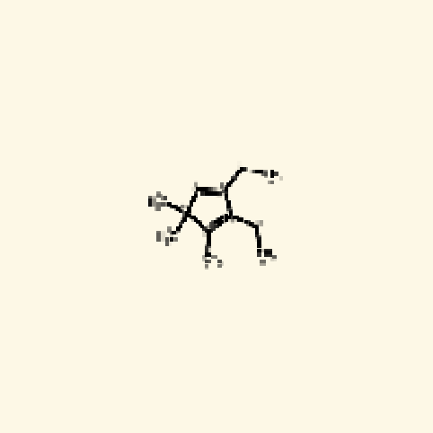 CCC1=[C]C(C)(C)C(C)=C1CC